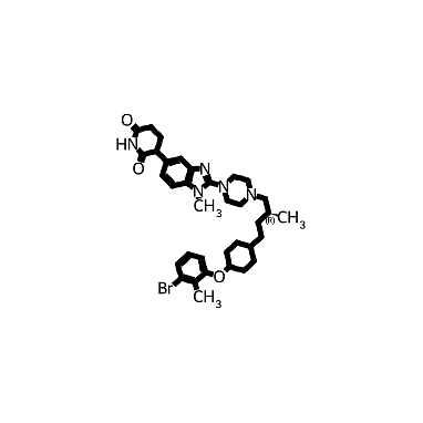 Cc1c(Br)cccc1OC1CCC(CC[C@@H](C)CN2CCN(c3nc4cc(C5CCC(=O)NC5=O)ccc4n3C)CC2)CC1